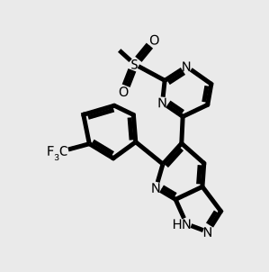 CS(=O)(=O)c1nccc(-c2cc3cn[nH]c3nc2-c2cccc(C(F)(F)F)c2)n1